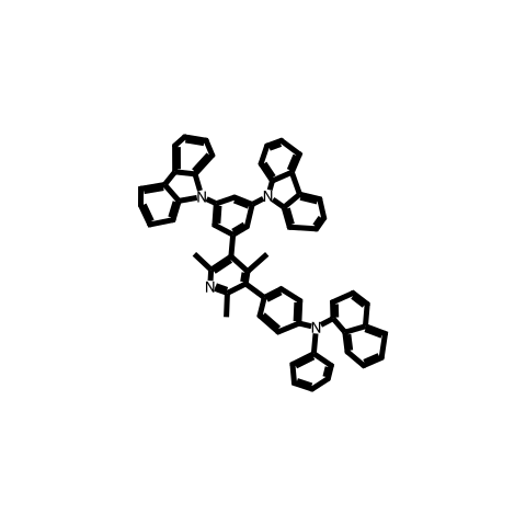 Cc1nc(C)c(-c2cc(-n3c4ccccc4c4ccccc43)cc(-n3c4ccccc4c4ccccc43)c2)c(C)c1-c1ccc(N(c2ccccc2)c2cccc3ccccc23)cc1